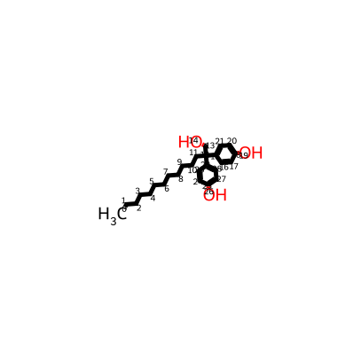 CCCCCCCCCCCCC(CO)(c1ccc(O)cc1)c1ccc(O)cc1